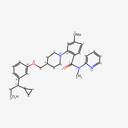 COc1ccc(C(=O)N(C)c2ccccn2)c(N2CCC(COc3cccc(C(CC(=O)O)C4CC4)c3)CC2)c1